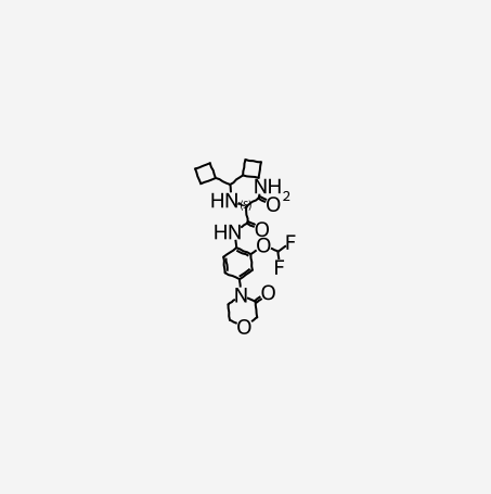 NC(=O)[C@H](NC(C1CCC1)C1CCC1)C(=O)Nc1ccc(N2CCOCC2=O)cc1OC(F)F